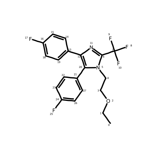 CCOCCn1c(C(F)(F)F)nc(-c2ccc(F)cc2)c1-c1ccc(F)cc1